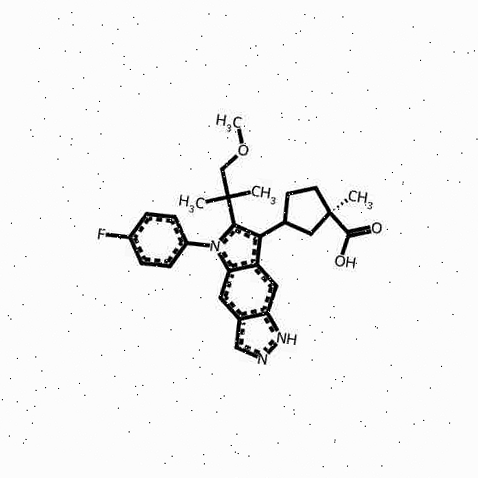 COCC(C)(C)c1c(C2CC[C@@](C)(C(=O)O)C2)c2cc3[nH]ncc3cc2n1-c1ccc(F)cc1